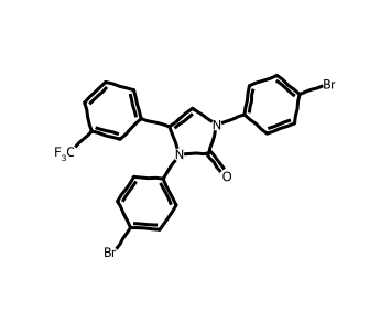 O=c1n(-c2ccc(Br)cc2)cc(-c2cccc(C(F)(F)F)c2)n1-c1ccc(Br)cc1